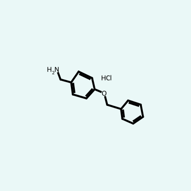 Cl.NCc1ccc(OCc2ccccc2)cc1